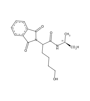 C[C@H](NC(=O)C(CCCCO)N1C(=O)c2ccccc2C1=O)C(=O)O